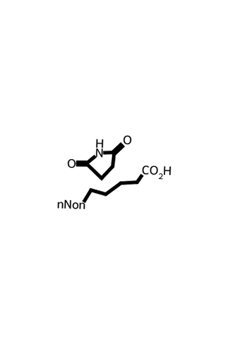 CCCCCCCCCCCCCC(=O)O.O=C1CCC(=O)N1